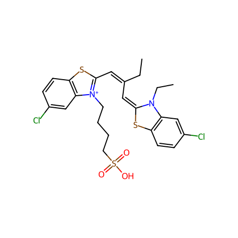 CCC(=Cc1sc2ccc(Cl)cc2[n+]1CCCCS(=O)(=O)O)C=C1Sc2ccc(Cl)cc2N1CC